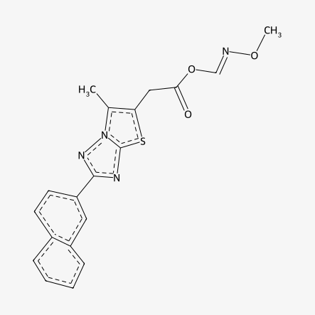 CON=COC(=O)Cc1sc2nc(-c3ccc4ccccc4c3)nn2c1C